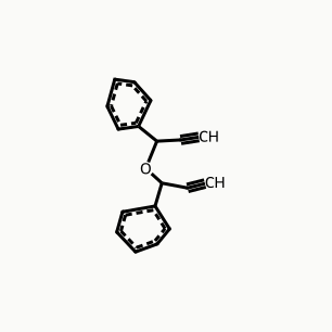 C#CC(OC(C#C)c1ccccc1)c1ccccc1